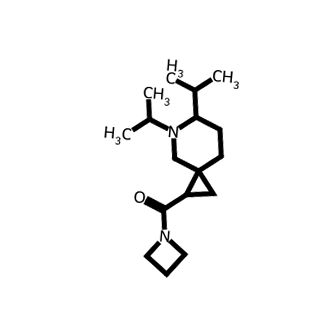 CC(C)C1CCC2(CC2C(=O)N2CCC2)CN1C(C)C